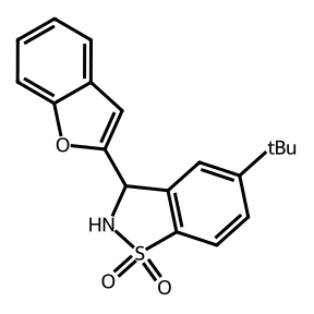 CC(C)(C)c1ccc2c(c1)C(c1cc3ccccc3o1)NS2(=O)=O